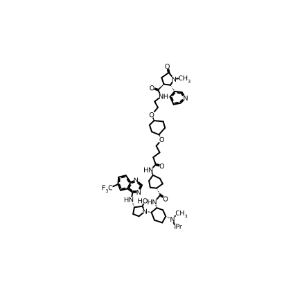 CC(C)N(C)[C@@H]1CC[C@H](N2CC[C@H](Nc3ncnc4ccc(C(F)(F)F)cc34)C2O)[C@H](NC(=O)[C@H]2CC[C@H](NC(=O)CCCO[C@H]3CC[C@H](OCCNC(=O)[C@H]4CC(=O)N(C)[C@@H]4c4cccnc4)CC3)CC2)C1